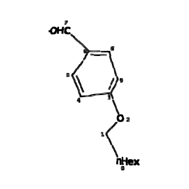 CCCCCCCOc1ccc([C]=O)cc1